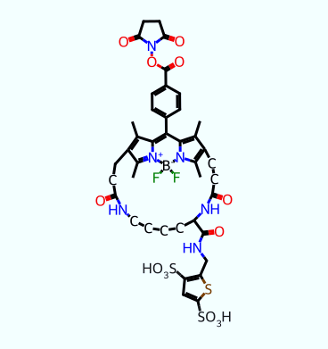 CC1=C2CCC(=O)NCCCCC(C(=O)NCc3sc(S(=O)(=O)O)cc3S(=O)(=O)O)NC(=O)CCc3c(C)c4n(c3C)[B-](F)(F)[N+](=C2C)C1=C4c1ccc(C(=O)ON2C(=O)CCC2=O)cc1